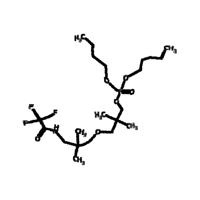 CCCCOP(=O)(OCCCC)OCC(C)(C)COCC(C)(C)CNC(=O)C(F)(F)F